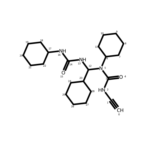 C#CNC(=O)N(C1CCCCC1)C(NC(=O)NC1CCCCC1)C1CCCCC1